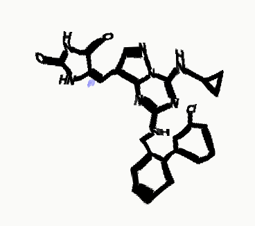 O=C1NC(=O)/C(=C\c2cnn3c(NC4CC4)nc(NCc4ccccc4-c4cccc(Cl)c4)nc23)N1